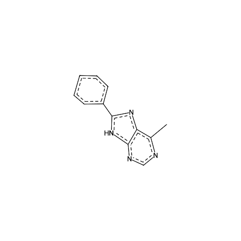 Cc1ncnc2[nH]c(-c3ccccc3)nc12